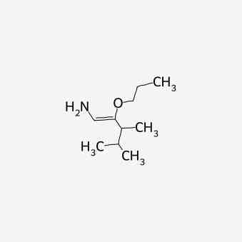 CCCO/C(=C\N)C(C)C(C)C